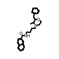 CC1C(Cc2ccccc2)OCCN1CCCCNC(=O)c1ccc2ccccc2c1